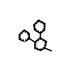 Cc1ccc(-c2ccccn2)c(-c2ccccc2)c1